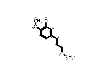 [CH2]OCC=Cc1ccc(OC)c(Cl)c1